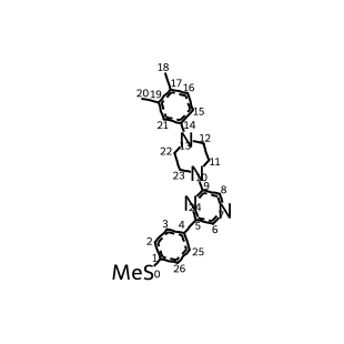 CSc1ccc(-c2cncc(N3CCN(c4ccc(C)c(C)c4)CC3)n2)cc1